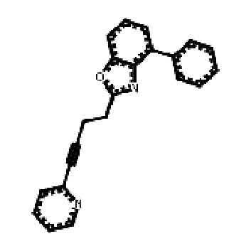 C(#Cc1ccccn1)CCc1nc2c(-c3ccccc3)cccc2o1